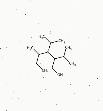 CCC(C)N(C(C)C)C(CO)C(C)C